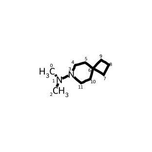 CN(C)N1CCC2(CCC2)CC1